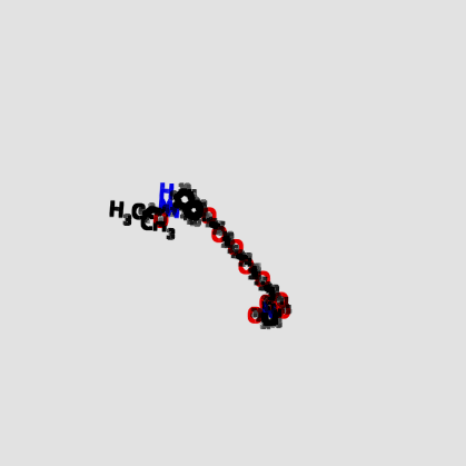 CC(C)CC(=O)NN=C1CCCc2cc(OCCOCCOCCOCCOCCC(=O)ON3C(=O)CCC3=O)ccc21